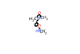 CNCCOc1cccc(/C=C/n2c(C)cc(=O)cc2C)c1